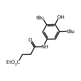 CCOC(=O)CCC(=O)Nc1cc(C(C)(C)C)c(O)c(C(C)(C)C)c1